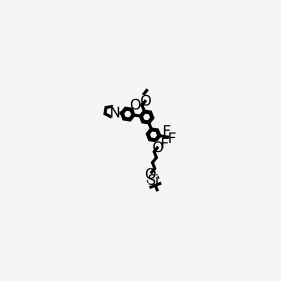 CCOC(=O)c1ccc(-c2ccc(OCCCCO[Si](C)(C)C(C)(C)C)c(C(F)(F)F)c2)cc1-c1ccc(N2CCCC2)cc1